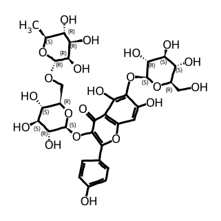 C[C@@H]1O[C@@H](OC[C@H]2O[C@@H](Oc3c(-c4ccc(O)cc4)oc4cc(O)c(O[C@@H]5O[C@H](CO)[C@@H](O)[C@H](O)[C@H]5O)c(O)c4c3=O)[C@H](O)[C@@H](O)[C@@H]2O)[C@H](O)[C@H](O)[C@H]1O